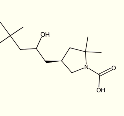 CC(C)(C)CC(O)C[C@@H]1CN(C(=O)O)C(C)(C)C1